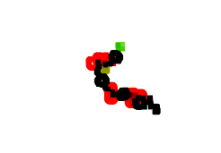 CS(=O)(=O)Oc1ccc(C(=O)OCc2ccc(CC(SCCc3ccc(F)cc3)C(=O)O)cc2)cc1